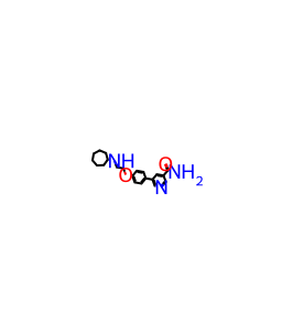 NC(=O)c1cncc(-c2ccc(OCCNC3CCCCCC3)cc2)c1